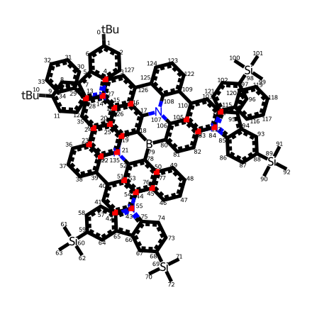 CC(C)(C)c1ccc2c(c1)c1cc(C(C)(C)C)ccc1n2-c1cc2c3c(c1)N(c1c(-c4cccc(-c5ccccc5)c4)cccc1-c1cccc(-c4ccccc4)c1)c1cc(-n4c5ccc([Si](C)(C)C)cc5c5cc([Si](C)(C)C)ccc54)ccc1B3c1ccc(-n3c4ccc([Si](C)(C)C)cc4c4cc([Si](C)(C)C)ccc43)cc1N2c1c(-c2cccc(-c3ccccc3)c2)cccc1-c1cccc(-c2ccccc2)c1